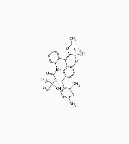 CCOC1=C(c2ccccc2NC(=O)OC(C)(C)C)c2cc(Cc3cnc(N)nc3N)ccc2OC1(C)C